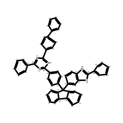 c1ccc(-c2ccc(-c3nc(-c4ccccc4)nc(-c4ccc(C5(c6ccc7nc(-c8ccccc8)oc7c6)c6ccccc6-c6ccccc65)cc4)n3)cc2)cc1